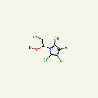 CCOC(CCl)n1c(Br)c(Br)c(Br)c1C#N